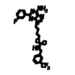 Nc1nc(-c2cccc(F)c2)nc2c1ncn2CCCCOC(=O)NCc1cccc(C(F)(F)F)c1